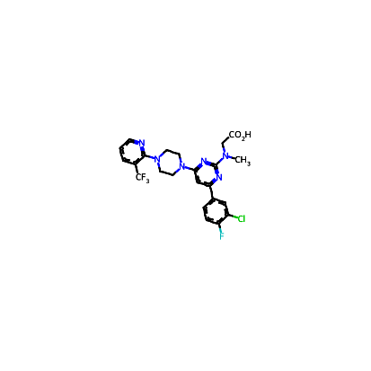 CN(CC(=O)O)c1nc(-c2ccc(F)c(Cl)c2)cc(N2CCN(c3ncccc3C(F)(F)F)CC2)n1